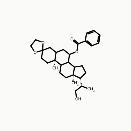 CC(CO)[C@H]1CCC2C3C(OC(=O)c4ccccc4)CC4CC5(CC[C@]4(C)C3CC[C@@]21C)OCCO5